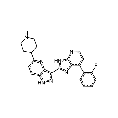 Fc1ccccc1-c1ccnc2[nH]c(-c3n[nH]c4ccc(C5CCNCC5)nc34)nc12